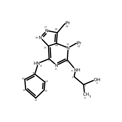 CC(O)CNc1nc(Nc2ccccc2)c2nnc(C(C)C)c-2n1C(C)C